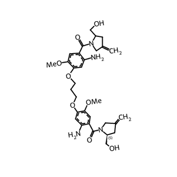 C=C1CC(CO)N(C(=O)c2cc(OC)c(OCCCOc3cc(N)c(C(=O)N4CC(=C)C[C@H]4CO)cc3OC)cc2N)C1